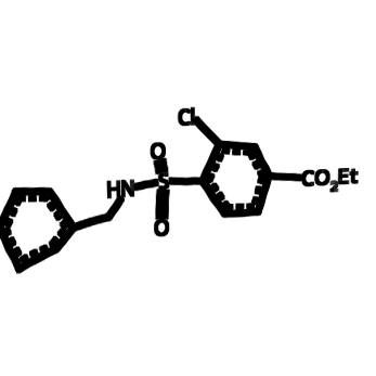 CCOC(=O)c1ccc(S(=O)(=O)NCc2ccccc2)c(Cl)c1